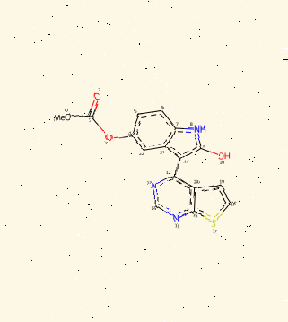 COC(=O)Oc1ccc2[nH]c(O)c(-c3ncnc4sccc34)c2c1